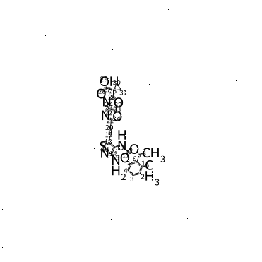 Cc1ccccc1C(C)OC(=O)Nc1c(N)nsc1C#Cc1nc2nc(C3(C(=O)O)CC3)oc2o1